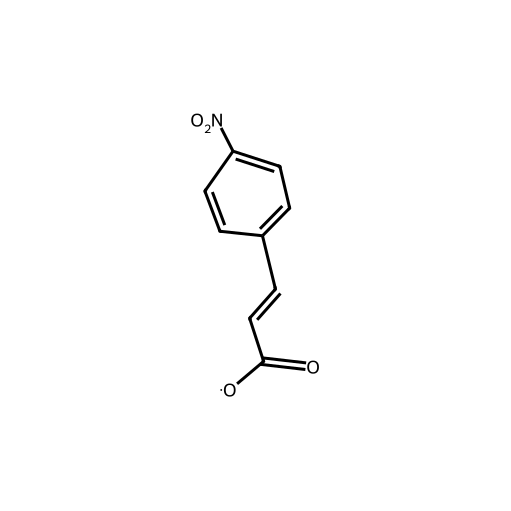 [O]C(=O)/C=C/c1ccc([N+](=O)[O-])cc1